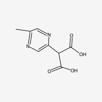 Cc1cnc(C(C(=O)O)C(=O)O)cn1